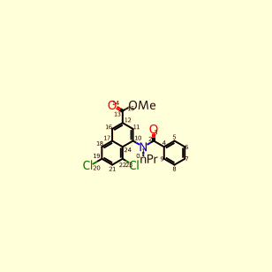 CCCN(C(=O)c1ccccc1)c1cc(C(=O)OC)cc2cc(Cl)cc(Cl)c12